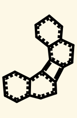 c1ccc2c3c(ccc2c1)=c1ccc2ccccc2c1=3